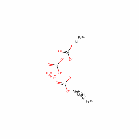 O.O.O=[Si]([O-])[O-].O=[Si]([O-])[O-].O=[Si]([O-])[O-].[Al].[Al].[Fe+3].[Fe+3].[MgH2].[MgH2]